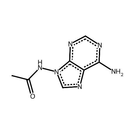 CC(=O)Nn1cnc2c(N)ncnc21